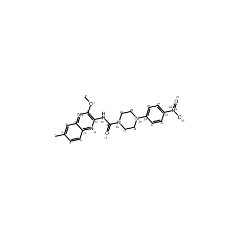 COc1nc2cc(C)ccc2nc1NC(=O)N1CCN(c2ccc([N+](=O)[O-])cc2)CC1